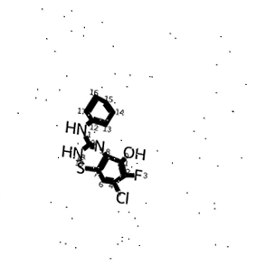 Oc1c(F)c(Cl)cc2c1N=C(Nc1ccccc1)NS2